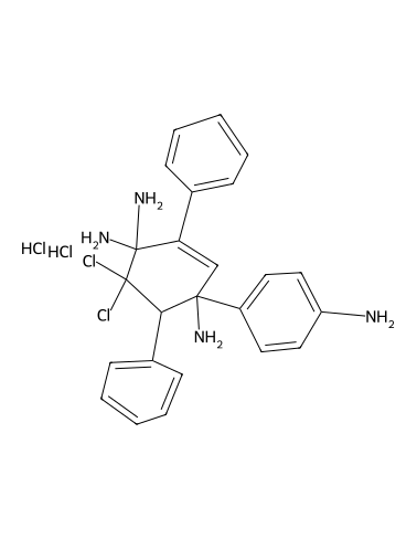 Cl.Cl.Nc1ccc(C2(N)C=C(c3ccccc3)C(N)(N)C(Cl)(Cl)C2c2ccccc2)cc1